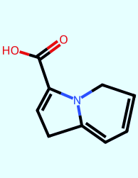 O=C(O)C1=CCC2=CC=CCN21